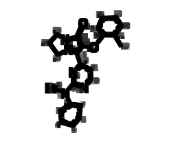 CCN(c1ccccc1)c1nccc(-c2c(Oc3ccccc3C)c(=O)n3n2CCC3)n1